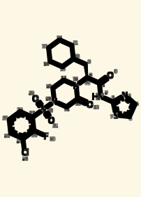 O=C(Nc1nccs1)[C@H](CC1CCCCC1)N1CCN(S(=O)(=O)c2cccc(Cl)c2F)CC1=O